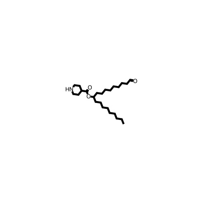 CCCCCCCCCC(CCCCCCCCC=O)OC(=O)C1CCNCC1